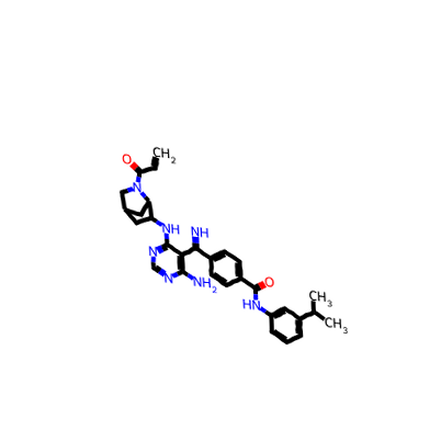 C=CC(=O)N1CC2CC(Nc3ncnc(N)c3C(=N)c3ccc(C(=O)Nc4cccc(C(C)C)c4)cc3)C1C2